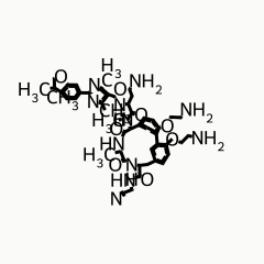 Cc1nc(-c2ccc3c(c2)OCC3(C)C)nc(C)c1C(=O)NC(CCN)C(=O)N(C)C1C(=O)NC(C)C(=O)NC(C(=O)NCC#N)Cc2ccc(OCCN)c(c2)-c2cc1ccc2OCCN